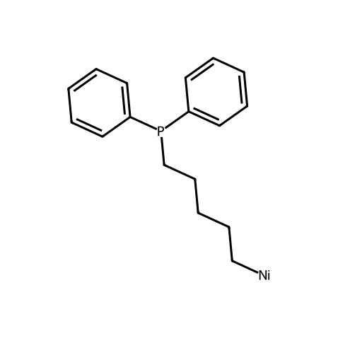 [Ni][CH2]CCCCP(c1ccccc1)c1ccccc1